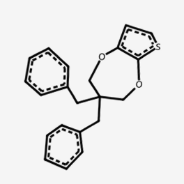 c1ccc(CC2(Cc3ccccc3)COc3ccsc3OC2)cc1